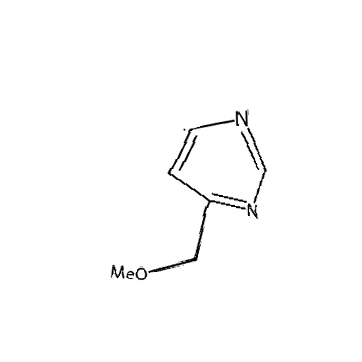 COCc1c[c]ncn1